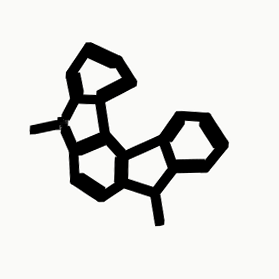 CC1c2ccccc2-c2c1ccc1c2c2ccccc2n1C